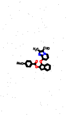 COc1ccc(C(=O)OC2Cc3ccccc3C2Oc2cccn3c(C=O)c(C)nc23)cc1